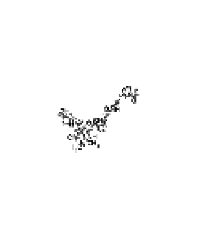 COC(=O)c1c(C)[nH]c2c(OC(=O)N(C)c3ccccc3SSCCC(=O)NCCOCCC(=O)ON3C(=O)CCC3=O)cc3c(c12)[C@H](CCl)CN3C(=O)c1cc2cc(OC)ccc2o1